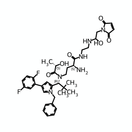 C[C@H](O)C(=O)N(CC[C@H](N)C(=O)NCCNC(O)CN1C(=O)C=CC1=O)[C@@H](c1cc(-c2cc(F)ccc2F)cn1Cc1ccccc1)C(C)(C)C